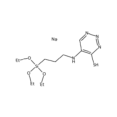 CCO[Si](CCCNc1cnnnc1S)(OCC)OCC.[Na]